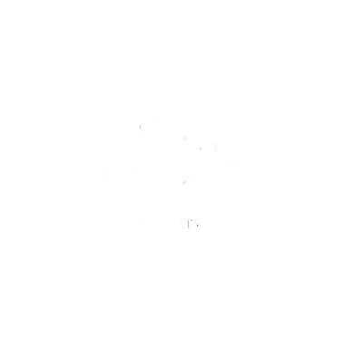 CC(c1ccco1)[C@@]1(C(=O)O)CCCN1